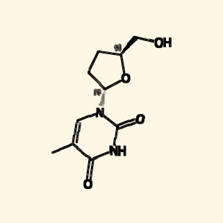 Cc1cn([C@@H]2CC[C@@H](CO)O2)c(=O)[nH]c1=O